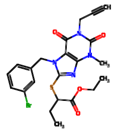 C#CCn1c(=O)c2c(nc(SC(CC)C(=O)OCC)n2Cc2cccc(Br)c2)n(C)c1=O